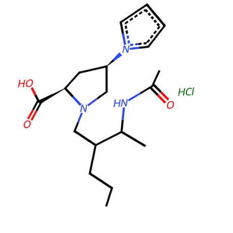 CCCC(CN1C[C@H](n2cccc2)C[C@@H]1C(=O)O)C(C)NC(C)=O.Cl